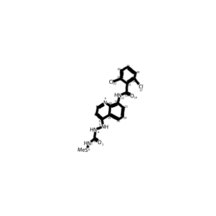 CSNC(=O)NNc1ccnc2c(NC(=O)c3c(Cl)cccc3Cl)cccc12